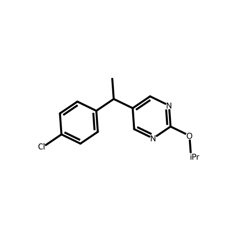 CC(C)Oc1ncc(C(C)c2ccc(Cl)cc2)cn1